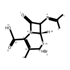 Br.CC(C)=NC1C(=O)N2C(C(=O)O)=C(C)CS[C@@H]12